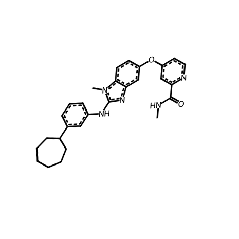 CNC(=O)c1cc(Oc2ccc3c(c2)nc(Nc2cccc(C4CCCCCC4)c2)n3C)ccn1